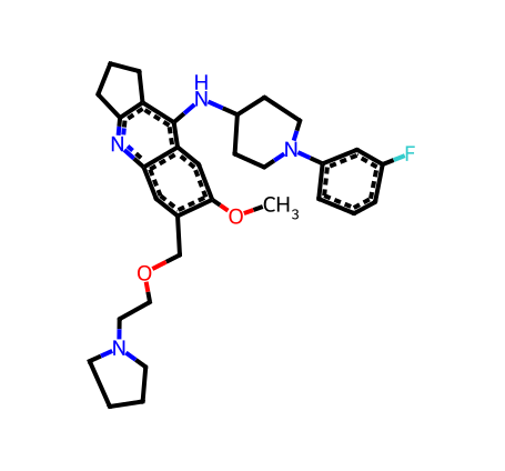 COc1cc2c(NC3CCN(c4cccc(F)c4)CC3)c3c(nc2cc1COCCN1CCCC1)CCC3